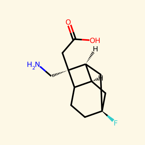 NC[C@@]1(CC(=O)O)C2CC[C@@]3(F)C[C@@H]2[C@@H]1C3